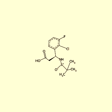 CC(C)(C)[S+]([O-])N[C@@H](CC(=O)O)c1cccc(F)c1Cl